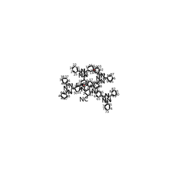 N#Cc1cc(-n2c3ccc(-c4nc(-c5ccccc5)nc(-c5ccccc5)n4)cc3c3cc(-c4nc(-c5ccccc5)nc(-c5ccccc5)n4)ccc32)c(-c2ccccc2C(F)(F)F)c(-n2c3ccc(-c4nc(-c5ccccc5)nc(-c5ccccc5)n4)cc3c3cc(-c4nc(-c5ccccc5)nc(-c5ccccc5)n4)ccc32)c1